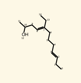 CCC=CCCCC(=CCC(C)O)CC